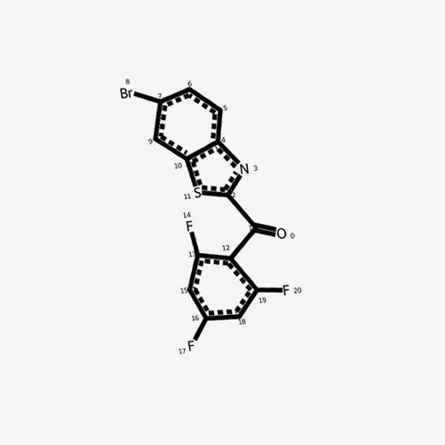 O=C(c1nc2ccc(Br)cc2s1)c1c(F)cc(F)cc1F